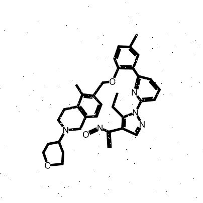 C=C(N=O)c1cnn(-c2cccc(-c3cc(C)ccc3OCc3ccc4c(c3C)CCN(C3CCOCC3)C4)n2)c1CC